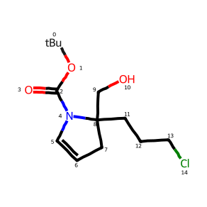 CC(C)(C)OC(=O)N1C=CCC1(CO)CCCCl